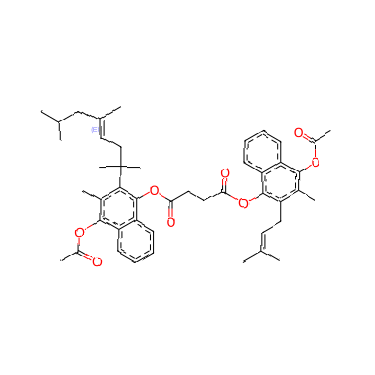 CC(=O)Oc1c(C)c(CC=C(C)C)c(OC(=O)CCC(=O)Oc2c(C(C)(C)C/C=C(\C)CC(C)C)c(C)c(OC(C)=O)c3ccccc23)c2ccccc12